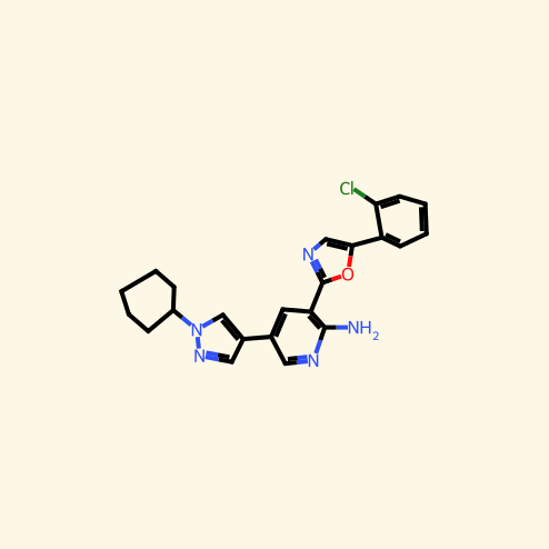 Nc1ncc(-c2cnn(C3CCCCC3)c2)cc1-c1ncc(-c2ccccc2Cl)o1